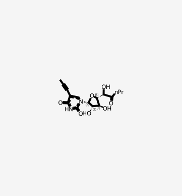 CC#Cc1cn([C@@H]2O[C@H](C(O)C(=O)CCC)[C@@H](O)[C@@H]2O)c(=O)[nH]c1=O